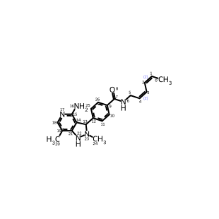 C/C=C\C=C/CNC(=O)c1ccc(C2c3c(N)ncc(C)c3NN2C)cc1